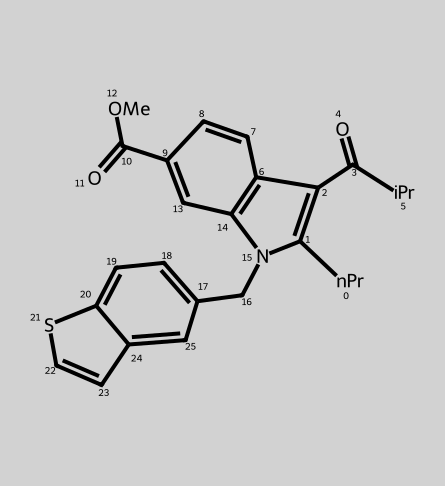 CCCc1c(C(=O)C(C)C)c2ccc(C(=O)OC)cc2n1Cc1ccc2sccc2c1